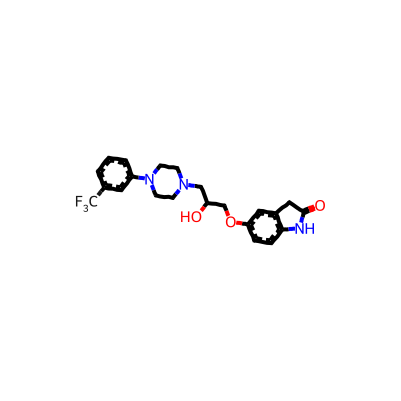 O=C1Cc2cc(OCC(O)CN3CCN(c4cccc(C(F)(F)F)c4)CC3)ccc2N1